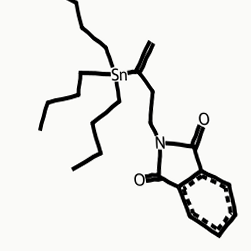 C=[C](CCN1C(=O)c2ccccc2C1=O)[Sn]([CH2]CCC)([CH2]CCC)[CH2]CCC